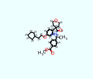 COC(=O)c1ccc([C@H](C)NC(=O)C2(c3ccc(OCCC4CCCCC4)cc3)CCOCC2)cc1